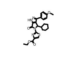 CCOC(=O)c1csc(N2C(=O)c3[nH]nc(-c4ccc(OC)cc4)c3C2C2CCCCC2)n1